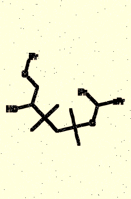 CCCC(OC(C)(C)CC(C)(C)C(O)COC(C)C)C(C)C